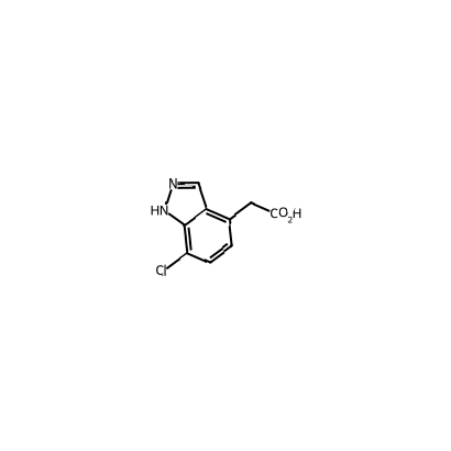 O=C(O)Cc1ccc(Cl)c2[nH]ncc12